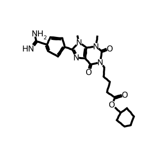 Cn1c(-c2ccc(C(=N)N)cc2)nc2c(=O)n(CCCCC(=O)OC3CCCCC3)c(=O)n(C)c21